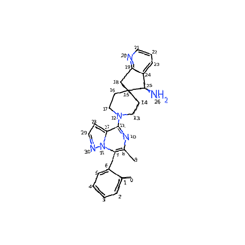 Cc1ccccc1-c1c(C)nc(N2CCC3(CC2)Cc2ncccc2[C@H]3N)c2ccnn12